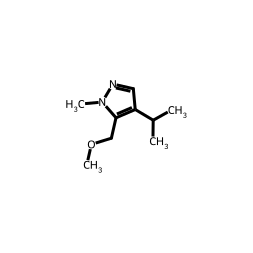 COCc1c(C(C)C)cnn1C